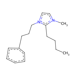 CCCCc1n(C)cc[n+]1CCCc1ccccc1